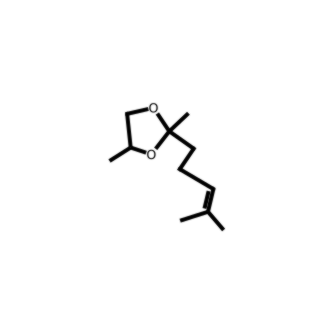 CC(C)=CCCC1(C)OCC(C)O1